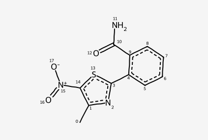 Cc1nc(-c2ccccc2C(N)=O)sc1[N+](=O)[O-]